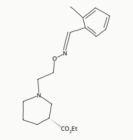 CCOC(=O)[C@@H]1CCCN(CCO/N=C/c2ccccc2C)C1